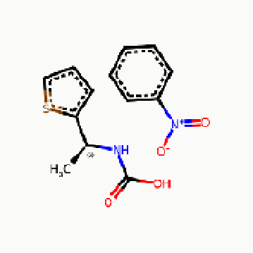 C[C@H](NC(=O)O)c1cccs1.O=[N+]([O-])c1ccccc1